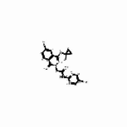 O=C(Cn1nc(OC2(F)CC2)c2cc(Br)ccc2c1=O)Nc1ncc(F)cn1